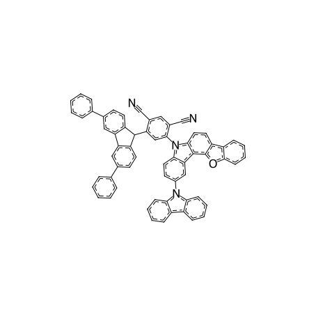 N#Cc1cc(C#N)c(-n2c3ccc(-n4c5ccccc5c5ccccc54)cc3c3c4oc5ccccc5c4ccc32)cc1C1c2ccc(-c3ccccc3)cc2-c2cc(-c3ccccc3)ccc21